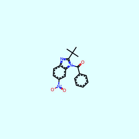 CC(C)(C)c1nc2ccc([N+](=O)[O-])cc2n1C(=O)c1ccccc1